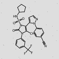 Cc1c(-c2ccnn2-c2ccc(C#N)cc2)n(S(=O)(=O)NC2CCCC2)c(=O)n1-c1cccc(C(F)(F)F)c1